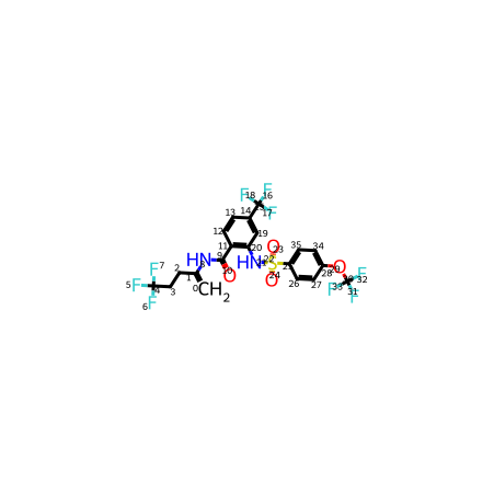 C=C(CCC(F)(F)F)NC(=O)c1ccc(C(F)(F)F)cc1NS(=O)(=O)c1ccc(OC(F)(F)F)cc1